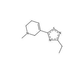 CCc1nsc(C2=CCCN(C)C2)n1